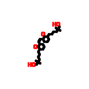 CC(C)(CO)CCCCC1CCCC(/C=C\C2CCCC(CCCCC(C)(C)CO)C2=O)C1=O